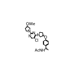 CO[C@H]1CCN(c2ncc(Cl)c(N3CC[C@@H](Oc4ccc([C@H](C)NC(C)=O)cc4)C3)n2)C1